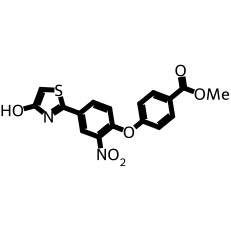 COC(=O)c1ccc(Oc2ccc(-c3nc(O)cs3)cc2[N+](=O)[O-])cc1